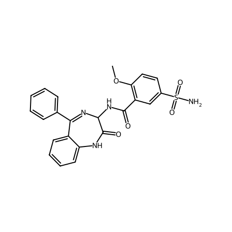 COc1ccc(S(N)(=O)=O)cc1C(=O)NC1N=C(c2ccccc2)c2ccccc2NC1=O